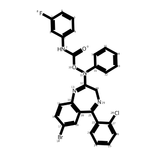 O=C(Nc1cccc(F)c1)ON(C1=Nc2ccc(Br)cc2C(c2ccccc2Cl)=NC1)c1ccccc1